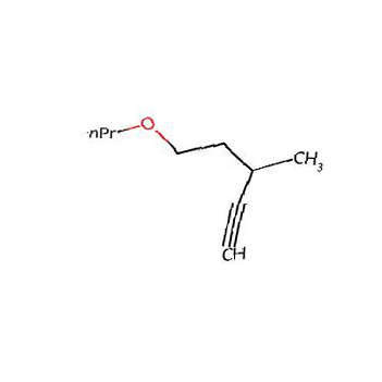 C#CC(C)CCO[CH]CC